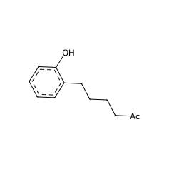 CC(=O)CCCCc1ccccc1O